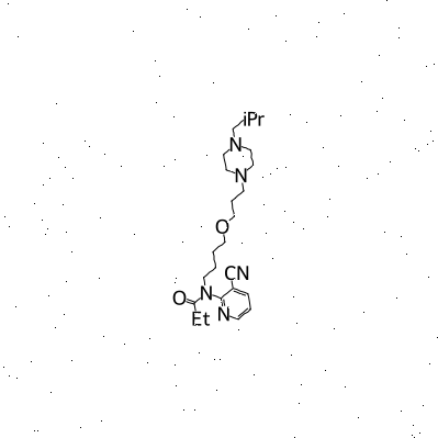 CCC(=O)N(CCCCOCCCN1CCN(CC(C)C)CC1)c1ncccc1C#N